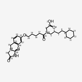 O=C(O)CN(CCCCC1CCCCC1)C(=O)CCCCOc1ccc2c(c1)N=C1NC(=O)CN1C2